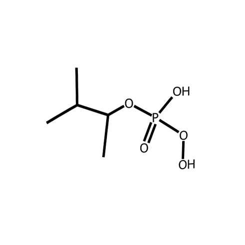 CC(C)C(C)OP(=O)(O)OO